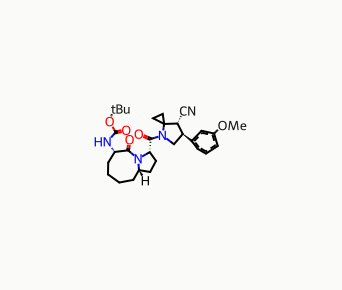 COc1cccc([C@H]2CN(C(=O)[C@@H]3CC[C@@H]4CCCC[C@H](NC(=O)OC(C)(C)C)C(=O)N43)C3(CC3)[C@@H]2C#N)c1